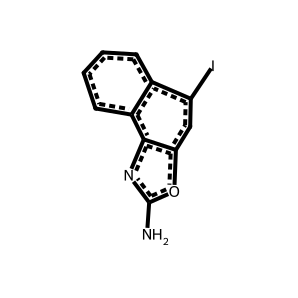 Nc1nc2c(cc(I)c3ccccc32)o1